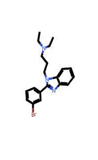 CCN(CC)CCCn1c(-c2cccc(Br)c2)nc2ccccc21